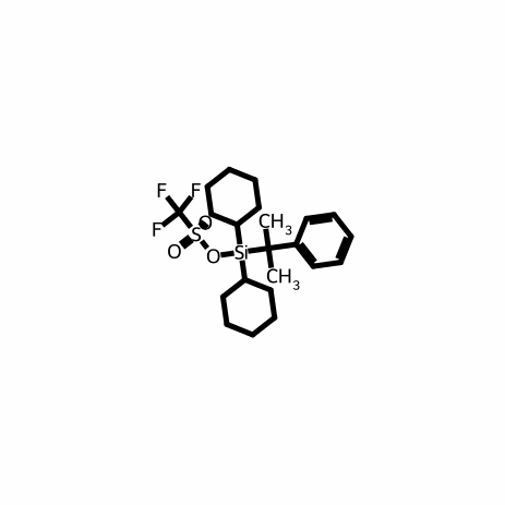 CC(C)(c1ccccc1)[Si](OS(=O)(=O)C(F)(F)F)(C1CCCCC1)C1CCCCC1